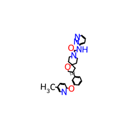 Cc1ccc(Oc2cccc([C@H]3COC4(CCN(C(=O)Nc5cccnn5)CC4)C3)c2)nc1